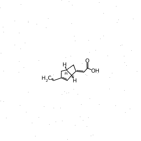 C=CC1=C[C@H]2C(=CC(=O)O)C[C@H]2C1